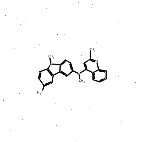 Cc1ccc2c(c1)c1cc(N(C)c3cc(C)nc4ccccc34)ccc1n2C